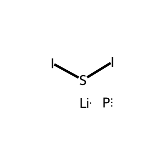 ISI.[Li].[P]